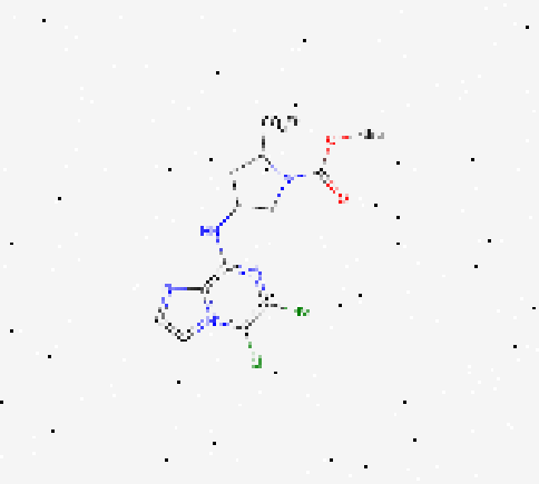 CCOC(=O)C1CC(Nc2nc(Br)c(Cl)n3ccnc23)CN1C(=O)OC(C)(C)C